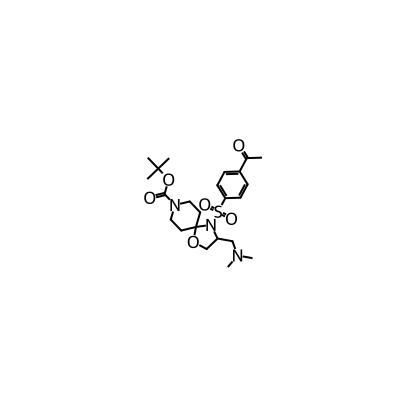 CC(=O)c1ccc(S(=O)(=O)N2C(CN(C)C)COC23CCN(C(=O)OC(C)(C)C)CC3)cc1